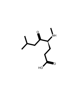 CN[C@@H](CCC(=O)O)C(=O)C[C](C)C